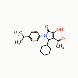 CC(=O)C1=C(O)C(=O)N(c2ccc(C(C)C)cc2)C1C1CCCCC1